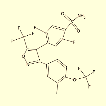 Cc1cc(-c2noc(C(F)(F)F)c2-c2cc(F)c(S(N)(=O)=O)cc2F)ccc1OC(F)(F)F